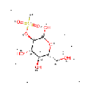 CS(=O)(=O)O[C@H]1C(O)O[C@H](CO)[C@@H](O)[C@@H]1O